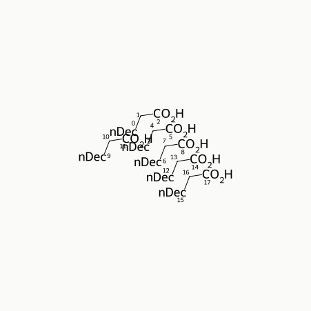 CCCCCCCCCCCC(=O)O.CCCCCCCCCCCC(=O)O.CCCCCCCCCCCC(=O)O.CCCCCCCCCCCC(=O)O.CCCCCCCCCCCC(=O)O.CCCCCCCCCCCC(=O)O